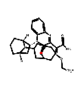 NC(=O)/C(=N\OCC(=O)O)c1nc2ccccc2n([C@@H]2C[C@@H]3CCC[C@H]2N3C2CC3CCCC(C3)C2)c1=O